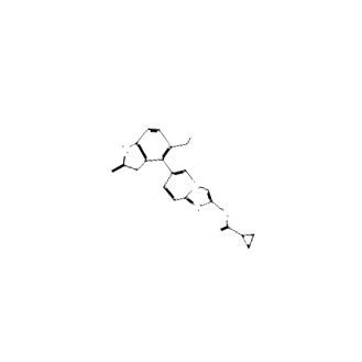 O=C1Cc2c(ccc(CO)c2-c2ccc3nc(NC(=O)C4CC4)cn3c2)N1